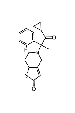 CC(C(=O)C1CC1)(c1ccccc1F)N1CCC2SC(=O)C=C2C1